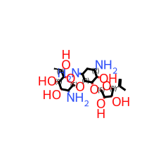 C=C(C)[C@H]1O[C@@H](OC2C(O)[C@H](N)CC(N)[C@H]2O[C@H]2OC([C@@H](C)O)[C@@H](O)C(O)C2N)C(O)C1O